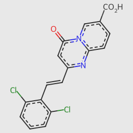 O=C(O)c1ccc2nc(C=Cc3c(Cl)cccc3Cl)cc(=O)n2c1